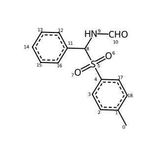 Cc1ccc(S(=O)(=O)C(NC=O)c2ccccc2)cc1